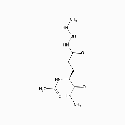 CNBNC(=O)CC[C@H](NC(C)=O)C(=O)NC